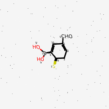 O=CC1=CCC(=S)C(B(O)O)=C1